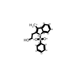 Cc1c(CCO)n(S(=O)(=O)c2ccccc2)c2ccccc12